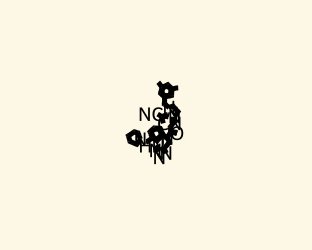 Cc1cc(C)cc(CN2CCN(CCC(=O)N(Cc3nnn[nH]3)c3cccc(CN4CCCCC4)c3)C2=C(C#N)C#N)c1